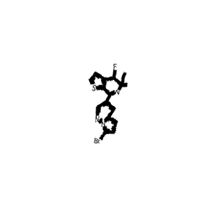 CC1(C)N=C(c2cnn3c(Br)ccc3c2)c2sccc2C1F